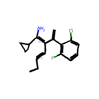 C=C(C(/C=C/CC)=C(\N)C1CC1)c1c(F)cccc1Cl